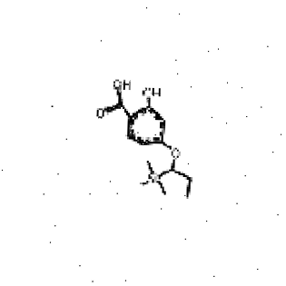 CCC(Oc1ccc(C(=O)O)c(O)c1)[Si](C)(C)C